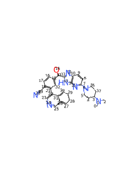 CN(C)C1CCN(c2ccc3nc(C(=O)c4ccc(C#N)c(-c5cncc6ccccc56)c4)[nH]c3n2)CC1